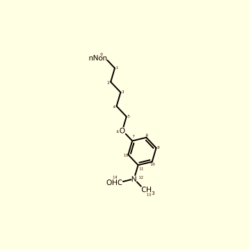 CCCCCCCCCCCCCCOc1cccc(N(C)C=O)c1